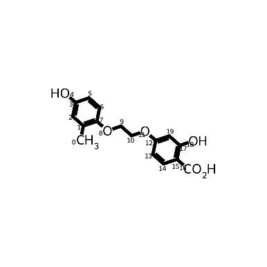 Cc1cc(O)ccc1OCCOc1ccc(C(=O)O)c(O)c1